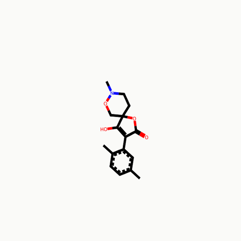 Cc1ccc(C)c(C2=C(O)C3(CCN(C)OC3)OC2=O)c1